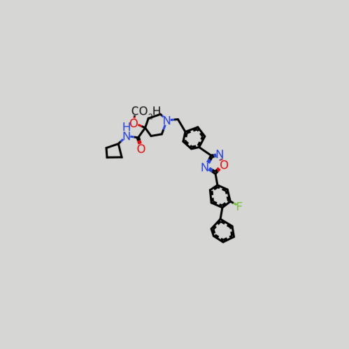 O=C(O)OC1(C(=O)NC2CCC2)CCN(Cc2ccc(-c3noc(-c4ccc(-c5ccccc5)c(F)c4)n3)cc2)CC1